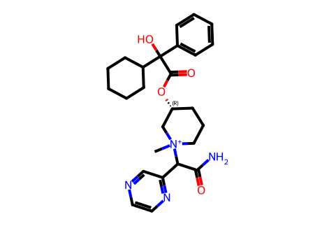 C[N+]1(C(C(N)=O)c2cnccn2)CCC[C@@H](OC(=O)C(O)(c2ccccc2)C2CCCCC2)C1